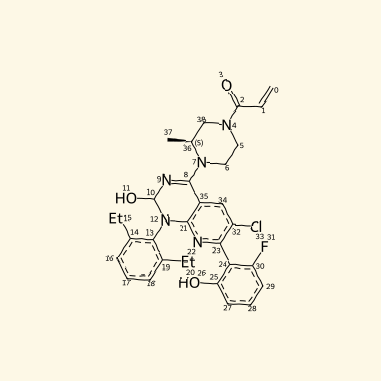 C=CC(=O)N1CCN(C2=NC(O)N(c3c(CC)cccc3CC)c3nc(-c4c(O)cccc4F)c(Cl)cc32)[C@@H](C)C1